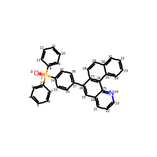 O=P(c1ccccc1)(c1ccccc1)c1ccc(-c2cc3cccnc3c3c2ccc2ccccc23)cc1